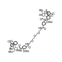 COc1cc(C(=O)NCCOCCOCCOCCNC(=O)c2ccc(NC(=O)[C@@H]3N[C@@H](CC(C)(C)C)[C@](C#N)(c4ccc(Cl)cc4F)[C@H]3c3cccc(Cl)c3F)c(OC)c2)ccc1NC(=O)[C@@H]1N[C@@H](CC(C)(C)C)[C@](C#N)(c2ccc(Cl)cc2F)[C@H]1c1cccc(Cl)c1F